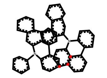 c1ccc(-c2ccccc2N(c2ccccc2)c2cc3ccccc3c3c2oc2c(N(c4ccccc4)c4ccccc4-c4ccccc4)cc4ccccc4c23)cc1